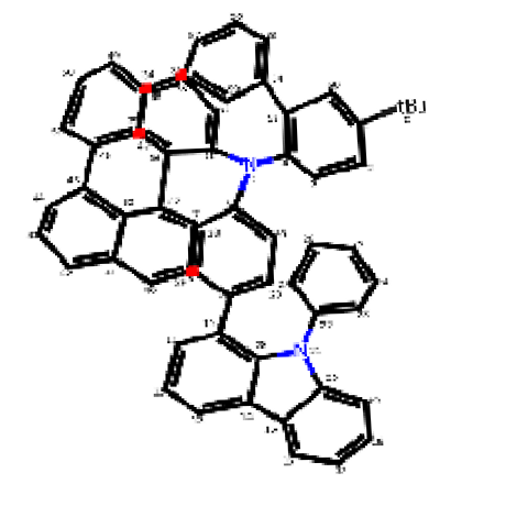 CC(C)(C)c1ccc(N(c2ccc(-c3cccc4c5ccccc5n(-c5ccccc5)c34)cc2)c2ccccc2-c2cccc3cccc(-c4ccccc4)c23)c(-c2ccccc2)c1